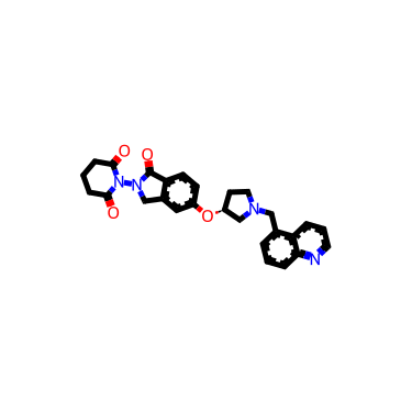 O=C1c2ccc(O[C@@H]3CCN(Cc4cccc5ncccc45)C3)cc2CN1N1C(=O)CCCC1=O